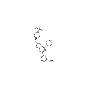 CS(=O)(=O)N1CCN(Cc2cc3c(N4CCOCC4)nc(-c4cccc(C=O)c4)nc3s2)CC1